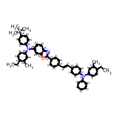 CCc1ccc(N(c2ccccc2)c2ccc(/C=C/c3ccc(-c4nc5ccc(N(c6ccc([Si](C)(C)C)cc6)c6ccc(CC)c(C)c6)cc5o4)cc3)cc2)cc1C